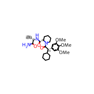 CC[C@H](C)[C@H](NC(=O)[C@@H]1CCCCN1C(=O)[C@H](c1cc(OC)c(OC)c(OC)c1)C1CCCCC1)C(N)=O